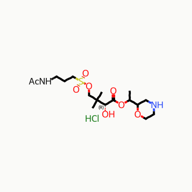 CC(=O)NCCCS(=O)(=O)OCC(C)(C)[C@@H](O)C(=O)OC(C)C1CNCCO1.Cl